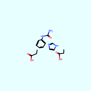 CCC(=O)O.CCC(=O)O.NC(=O)Nc1ccccc1.c1c[nH]cn1